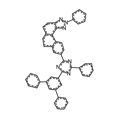 c1ccc(-c2cc(-c3ccccc3)cc(-c3nc(-c4ccccc4)nc(-c4ccc5c(ccc6ccc7nn(-c8ccccc8)nc7c65)c4)n3)c2)cc1